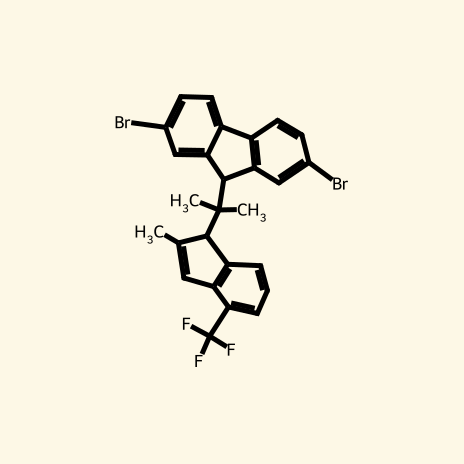 CC1=Cc2c(cccc2C(F)(F)F)C1C(C)(C)C1c2cc(Br)ccc2-c2ccc(Br)cc21